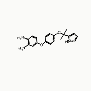 CC(C)(Oc1ccc(Oc2ccc(N)c(N)c2)cc1)c1ccc[nH]1